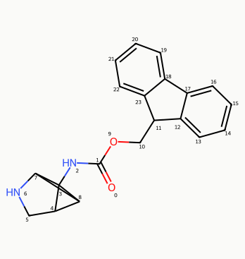 O=C(NC12C3CNC1C32)OCC1c2ccccc2-c2ccccc21